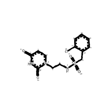 O=c1ccn(CCNS(=O)(=O)Cc2ccccc2Cl)c(=O)[nH]1